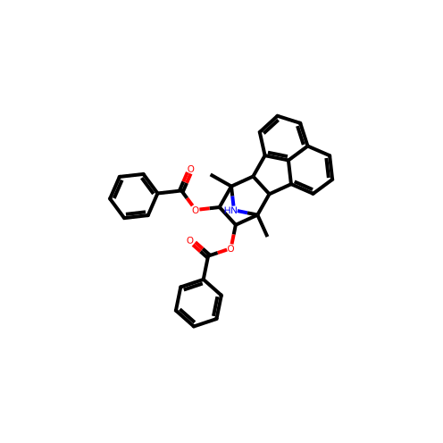 CC12NC(C)(C(OC(=O)c3ccccc3)C1OC(=O)c1ccccc1)C1c3cccc4cccc(c34)C12